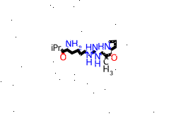 CC(C)C(=O)[C@H](N)CCCCNC(=N)NCC(C)C(=O)[C@H]1CCCN1